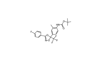 Cc1cc(C2(C(F)(F)F)ON=C(c3ccc(F)cc3)O2)ccc1NC(=O)OC(C)(C)C